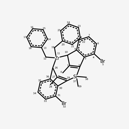 CC1=C2c3c(Br)cccc3[CH]1[Zr]([CH2]c1ccccc1)([CH2]c1ccccc1)[CH]1C(C)=C(c3c(Br)cccc31)[Si]2(C)C